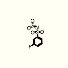 O=S(=O)=NS(=O)(=O)c1cccc(F)c1